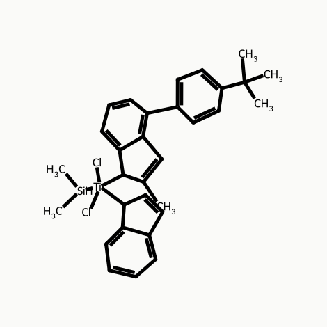 CC1=Cc2c(-c3ccc(C(C)(C)C)cc3)cccc2[CH]1[Ti]([Cl])([Cl])([CH]1C=Cc2ccccc21)[SiH](C)C